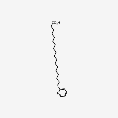 O=C(O)CCCCCCCCCCCCCCCSSc1ccccn1